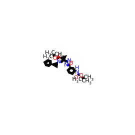 CC(C)(C)OC(=O)N[C@H]1CCC[C@@H](c2nc(C3(CN(C(=O)OC(C)(C)C)[C@@H]4C[C@H]4c4ccccc4)CC3)no2)C1